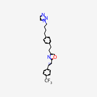 FC(F)(F)c1ccc(/C=C/c2nc(CCc3ccc(CCCCn4ccnn4)cc3)co2)cc1